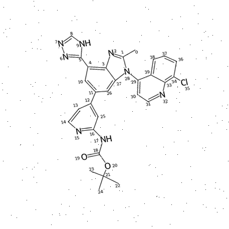 Cc1nc2c(-c3nnc[nH]3)cc(-c3ccnc(NC(=O)OC(C)(C)C)c3)cc2n1-c1ccnc2c(Cl)cccc12